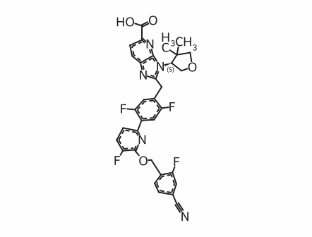 CC1(C)COC[C@H]1n1c(Cc2cc(F)c(-c3ccc(F)c(OCc4ccc(C#N)cc4F)n3)cc2F)nc2ccc(C(=O)O)nc21